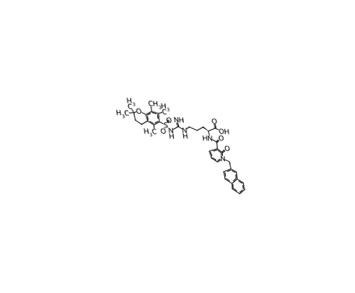 Cc1c(C)c(S(=O)(=O)NC(=N)NCCC[C@H](NC(=O)c2cccn(Cc3ccc4ccccc4c3)c2=O)C(=O)O)c(C)c2c1OC(C)(C)CC2